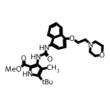 COC(=O)c1[nH]c(C(C)(C)C)c(C)c1NC(=O)Nc1ccc(OCCN2CCOCC2)c2ccccc12